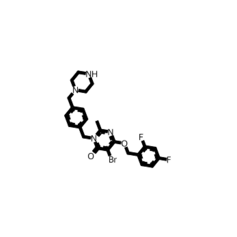 Cc1nc(OCc2ccc(F)cc2F)c(Br)c(=O)n1Cc1ccc(CN2CCNCC2)cc1